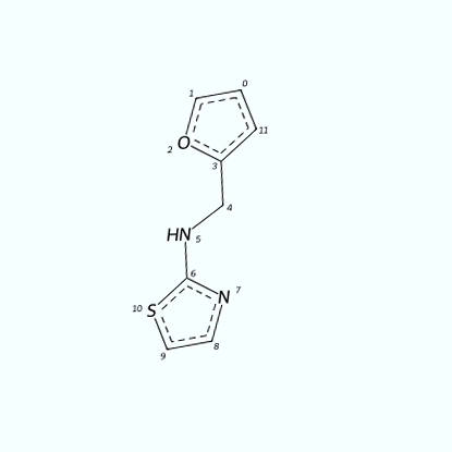 c1coc(CNc2nccs2)c1